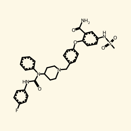 CS(=O)(=O)Nc1ccc(Oc2ccc(CN3CCC(N(C(=O)Nc4ccc(F)cc4)c4ccccc4)CC3)cc2)c(C(N)=O)c1